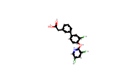 O=C(O)Cc1cccc(-c2ccc(Oc3ncc(Cl)cc3F)c(F)c2)c1